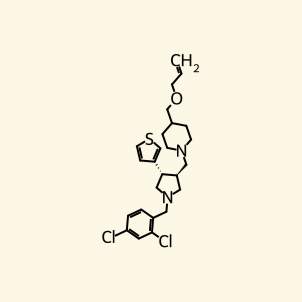 C=CCOCC1CCN(C[C@H]2CN(Cc3ccc(Cl)cc3Cl)C[C@@H]2c2ccsc2)CC1